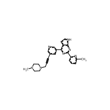 Cc1cccc(-c2nc(-c3cncc(C#CCN4CCN(C)CC4)c3)c3cc[nH]c3n2)n1